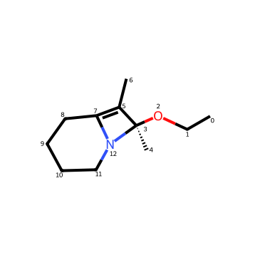 CCO[C@]1(C)C(C)=C2CCCCN21